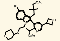 CO[C@@H](C)c1ncc(C2CNC2)cc1-c1c(CC(C)(C)COC(C)=O)c2cc(Br)ccc2n1CCOC1CCOCC1